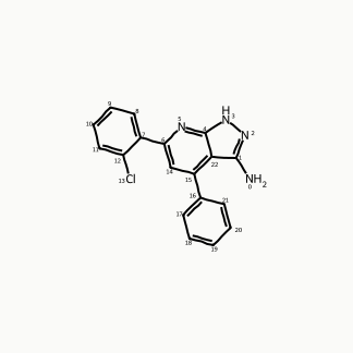 Nc1n[nH]c2nc(-c3ccccc3Cl)cc(-c3ccccc3)c12